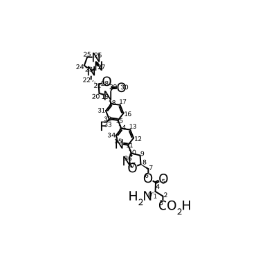 N[C@@H](CC(=O)O)C(=O)OC[C@@H]1CC(c2ccc(-c3ccc(N4C[C@H](CN5CCN=N5)OC4=O)cc3F)cn2)=NO1